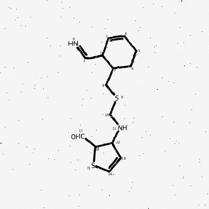 N=CC1C=CCCC1CSCNC1C=CSC1C=O